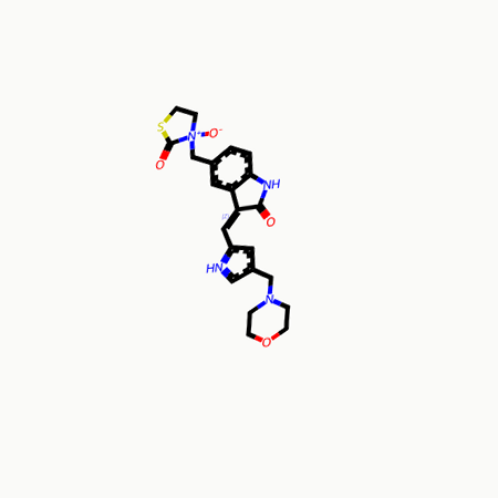 O=C1Nc2ccc(C[N+]3([O-])CCSC3=O)cc2/C1=C/c1cc(CN2CCOCC2)c[nH]1